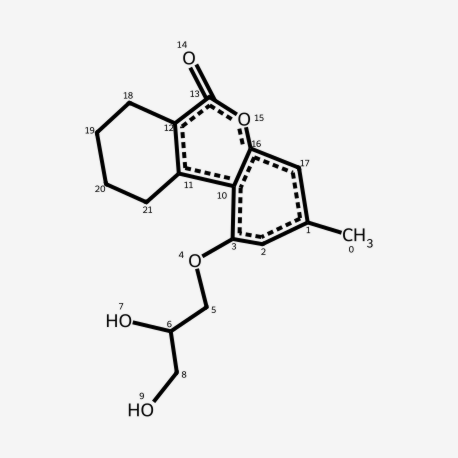 Cc1cc(OCC(O)CO)c2c3c(c(=O)oc2c1)CCCC3